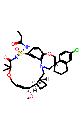 CCC(=O)N[S@]1(=O)=NC(=O)C(C)(C)OCC=C[C@@H](OC)[C@@H]2CC[C@H]2CN2C[C@@]3(CCCc4cc(Cl)ccc43)COc3ccc1cc32